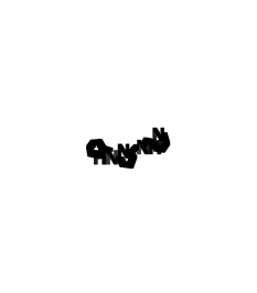 c1ccc(CNc2cccc(CNCc3ccccn3)n2)cc1